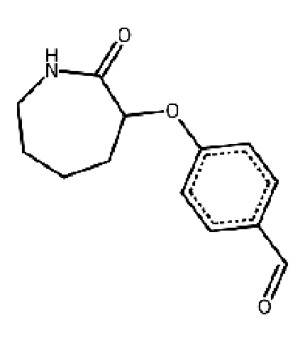 O=Cc1ccc(OC2CCCCNC2=O)cc1